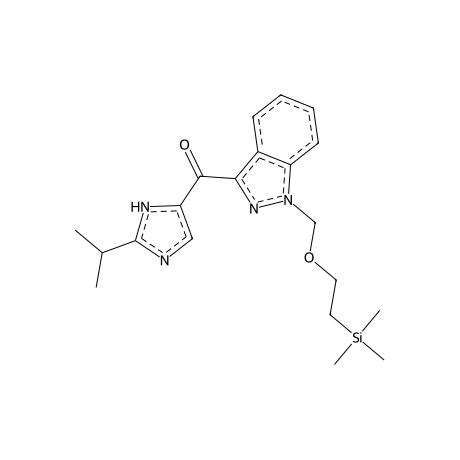 CC(C)c1ncc(C(=O)c2nn(COCC[Si](C)(C)C)c3ccccc23)[nH]1